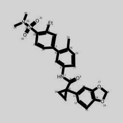 CCc1cc(-c2cc(NC(=O)C3(c4ccc5c(c4)OCO5)CC3)ccc2C)ccc1S(=O)(=O)N(C)C